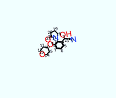 N#CC(O)c1cccc(OC2CCOCC2)c1N1CCCC1=O